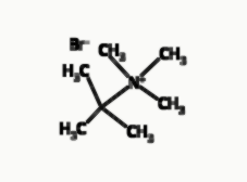 CC(C)(C)[N+](C)(C)C.[Br-]